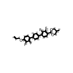 C=CCOc1ccc(-c2ccc(-c3ccc(C4OCC(C)CO4)c(F)c3F)cc2)c(F)c1F